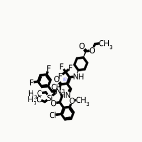 CCOC(=O)[C@H]1CC[C@H](N/C(=C(\C=N)C(=O)N(Cc2cc(F)cc(F)c2)CC(O[Si](CC)(CC)CC)c2c(Cl)cccc2OC)C(F)(F)F)CC1